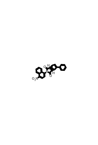 O=C1[C@@H]2C3CC(C=C3c3ccccc3)[C@@H]2C(=O)N1c1ccc([N+](=O)[O-])c2ccccc12